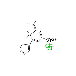 CC(C)=C1C=[C]([Zr+2])C=C(C2=CC=CC2)C1(C)C.[Cl-].[Cl-]